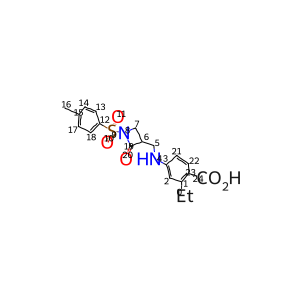 CCc1cc(NCC2CN(S(=O)(=O)c3ccc(C)cc3)C2=O)ccc1C(=O)O